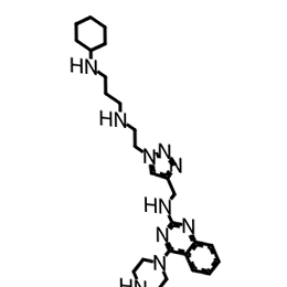 c1ccc2c(N3CCNCC3)nc(NCc3cn(CCNCCCNC4CCCCC4)nn3)nc2c1